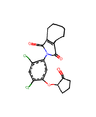 O=C1CCCC1Oc1cc(N2C(=O)C3=C(CCCC3)C2=O)c(Cl)cc1Cl